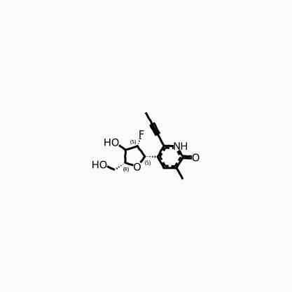 CC#Cc1[nH]c(=O)c(C)cc1[C@@H]1O[C@H](CO)C(O)[C@@H]1F